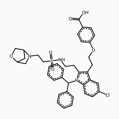 O=C(O)c1ccc(OCCc2c(CCNS(=O)(=O)CCN3CC4CC3CO4)n(C(c3ccccc3)c3ccccc3)c3ccc(Cl)cc23)cc1